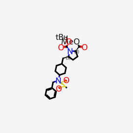 COC(=O)[C@H]1CC[C@@H](CC2CCC(N(Cc3ccccc3)S(C)(=O)=O)CC2)N1C(=O)OC(C)(C)C